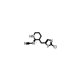 N#C/N=C1\NCCCC1Cc1cnc(Cl)s1